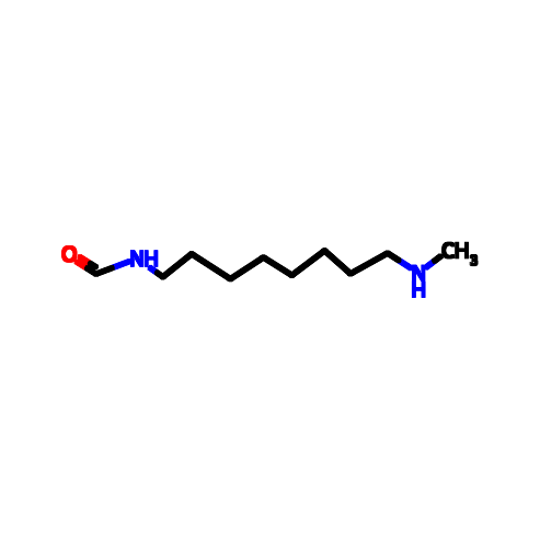 CNCCCCCCCCNC=O